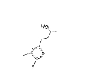 Cc1cc([CH]CC(C)O)ccc1F